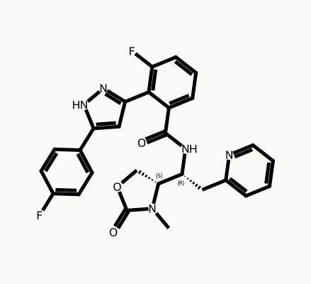 CN1C(=O)OC[C@@H]1[C@@H](Cc1ccccn1)NC(=O)c1cccc(F)c1-c1cc(-c2ccc(F)cc2)[nH]n1